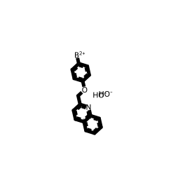 [B+2]c1ccc(OCc2ccc3ccccc3n2)cc1.[OH-].[OH-]